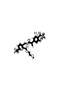 COCCOCc1nc(C(F)(F)F)ccc1CNC(=O)C(C)c1ccc(C(N)S(C)(=O)=O)c(F)c1